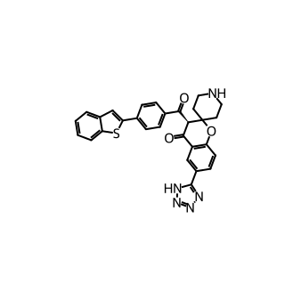 O=C(c1ccc(-c2cc3ccccc3s2)cc1)[C@@H]1C(=O)c2cc(-c3nnn[nH]3)ccc2OC12CCNCC2